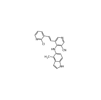 Cc1c(Nc2c(C#N)cncc2C=Cc2cccnc2Cl)ccc2[nH]ccc12